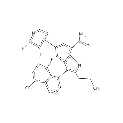 CCCc1nc2c(C(N)=O)cc(-c3ccnc(F)c3F)cc2n1-c1ccnc2c(Cl)ccc(F)c12